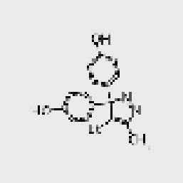 CCC1=C(C)N=NC1(c1ccc(O)cc1)c1ccc(O)cc1